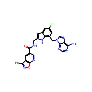 CC(C)c1noc2ncc(C(=O)NCc3cc4cc(Cl)cc(Cn5cnc6c(N)ncnc65)c4[nH]3)cc12